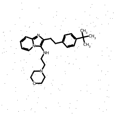 CC(C)(C)c1ccc(CCc2nc3ccccn3c2NCCN2CCOCC2)cc1